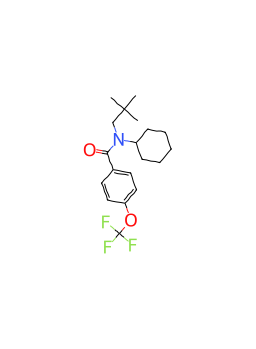 CC(C)(C)CN(C(=O)c1ccc(OC(F)(F)F)cc1)C1CCCCC1